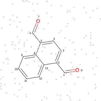 O=[C]c1ccc([C]=O)c2ccccc12